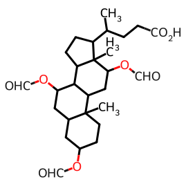 CC(CCC(=O)O)C1CCC2C3C(OC=O)CC4CC(OC=O)CCC4(C)C3CC(OC=O)C12C